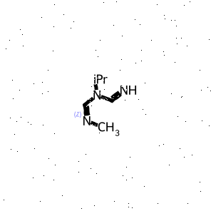 C/N=C\N(C=N)C(C)C